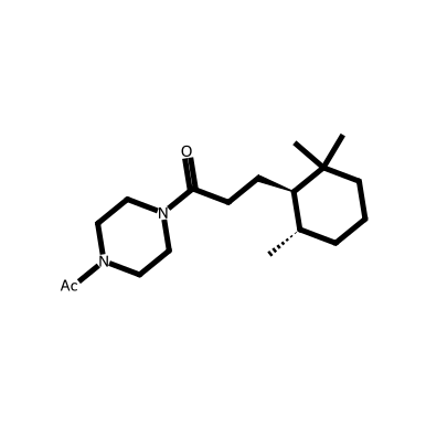 CC(=O)N1CCN(C(=O)CC[C@@H]2[C@@H](C)CCCC2(C)C)CC1